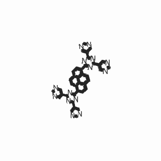 c1ncc(-c2nc(-c3cncnc3)nc(-c3ccc4ccc5c(-c6nc(-c7cncnc7)nc(-c7cncnc7)n6)ccc6ccc3c4c65)n2)cn1